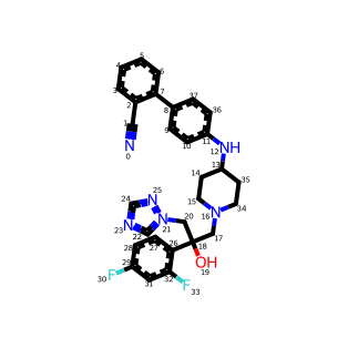 N#Cc1ccccc1-c1ccc(NC2CCN(CC(O)(Cn3cncn3)c3ccc(F)cc3F)CC2)cc1